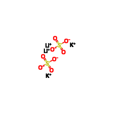 O=S(=O)([O-])[O-].O=S(=O)([O-])[O-].[K+].[K+].[Li+].[Li+]